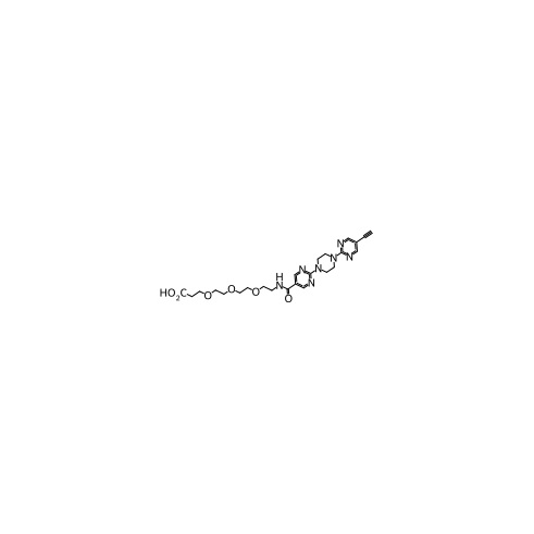 C#Cc1cnc(N2CCN(c3ncc(C(=O)NCCOCCOCCOCCC(=O)O)cn3)CC2)nc1